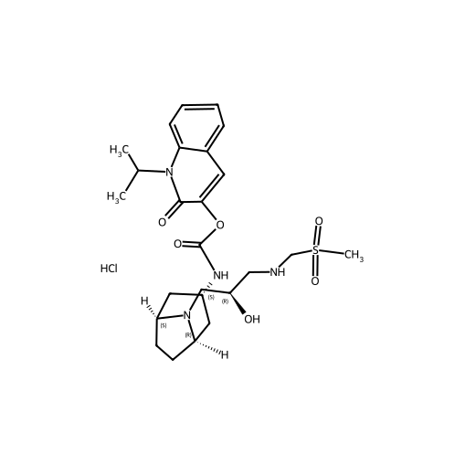 CC(C)n1c(=O)c(OC(=O)N[C@@H]2C[C@H]3CC[C@@H](C2)N3C[C@H](O)CNCS(C)(=O)=O)cc2ccccc21.Cl